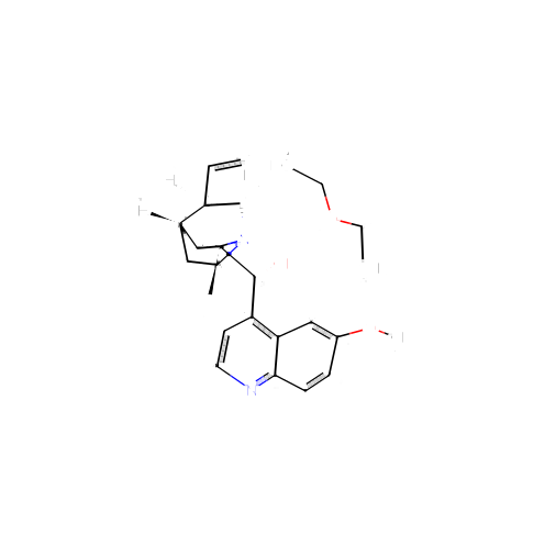 C=C[C@H]1C[N@]2CC[C@H]1C[C@H]2[C@H](O)c1ccnc2ccc(OC)cc12.CCOCC